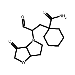 NC(=O)C1(C[C](C=O)N2CCC3OCC(=O)C32)CCCCC1